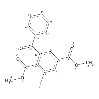 COC(=O)c1cc(I)c(C(=O)OC)c(C(=O)c2ccccc2)c1